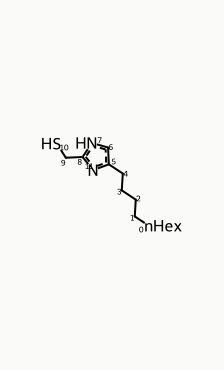 CCCCCCCCCCc1c[nH]c(CS)n1